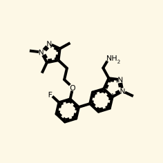 Cc1nn(C)c(C)c1CCOc1c(F)cccc1-c1ccc2c(c1)c(CN)nn2C